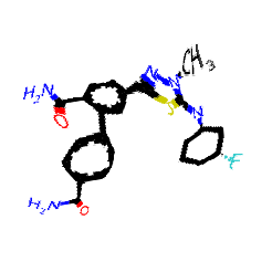 Cn1nc(-c2ccc(C(N)=O)c(-c3ccc(C(N)=O)cc3)c2)sc1=N[C@@H]1CCC[C@@H](F)C1